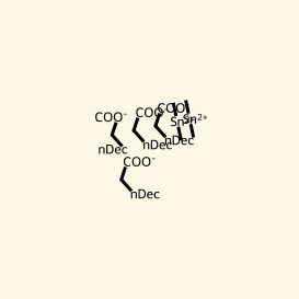 CCCCCCCCCCCC(=O)[O-].CCCCCCCCCCCC(=O)[O-].CCCCCCCCCCCC(=O)[O-].CCCCCCCCCCCC(=O)[O-].[CH3][Sn+2][CH3].[CH3][Sn+2][CH3]